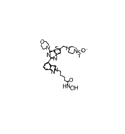 C[S+]([O-])N1CCN(Cc2cc3nc(-c4cccc5nn(CCCCC(=O)NO)cc45)nc(N4CCOCC4)c3s2)CC1